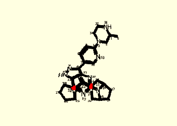 CC1CN(c2ccc(-c3n[nH]c4cnc(N5C6CCC5CN(C(=O)N5CCCC5)C6)nc34)cn2)CCN1